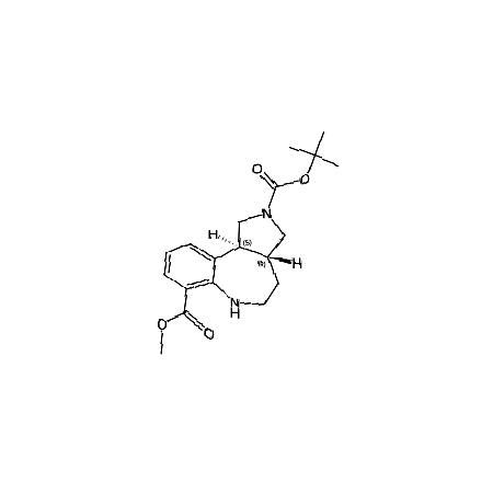 COC(=O)c1cccc2c1NCC[C@H]1CN(C(=O)OC(C)(C)C)C[C@H]21